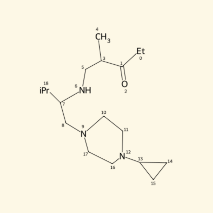 CCC(=O)C(C)CNC(CN1CCN(C2CC2)CC1)C(C)C